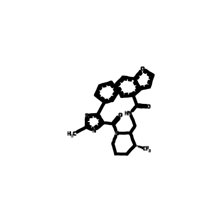 Cc1nc(C(=O)N2CCC[C@@H](C(F)(F)F)C2CNC(=O)c2cccc3occc23)c(-c2ccccc2)s1